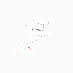 O=C(C1CCCCC1)N1CC2[C@@H](C1)[C@H]1C=C[C@@H]2[C@@H]2C[C@H]12